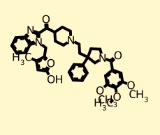 COc1cc(C(=O)N2CCC(CCN3CCC(C(=O)c4nc5ccccc5n4Cc4oc(O)cc4C)CC3)(c3ccccc3)C2)cc(OC)c1OC